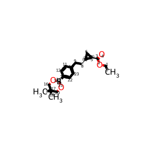 CCOC(=O)[C@@H]1C[C@H]1CCc1ccc(B2OCC(C)(C)CO2)cc1